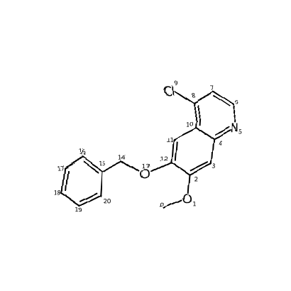 COc1cc2nccc(Cl)c2cc1OCc1ccccc1